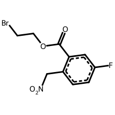 O=C(OCCBr)c1cc(F)ccc1C[N+](=O)[O-]